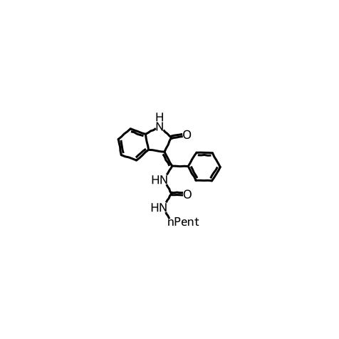 CCCCCNC(=O)NC(=C1C(=O)Nc2ccccc21)c1ccccc1